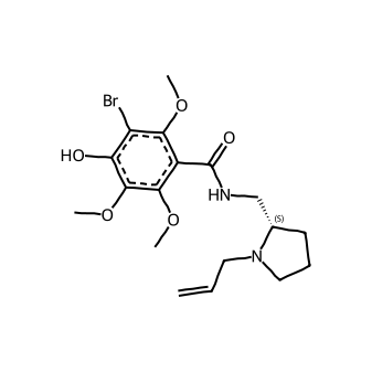 C=CCN1CCC[C@H]1CNC(=O)c1c(OC)c(Br)c(O)c(OC)c1OC